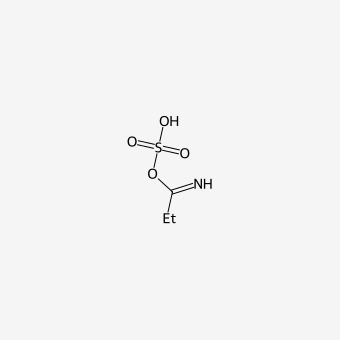 CCC(=N)OS(=O)(=O)O